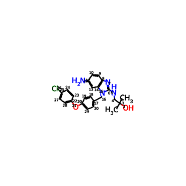 CC(C)(O)CNc1nc2ccc(N)cc2n1Cc1ccc(Oc2ccc(Cl)cc2)cc1